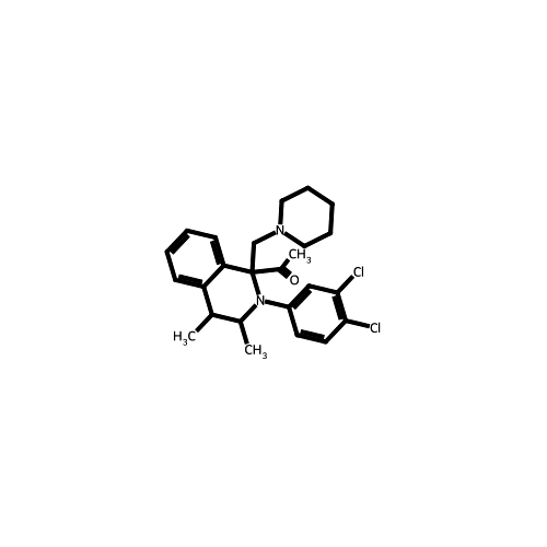 CC(=O)C1(CN2CCCCC2)c2ccccc2C(C)C(C)N1c1ccc(Cl)c(Cl)c1